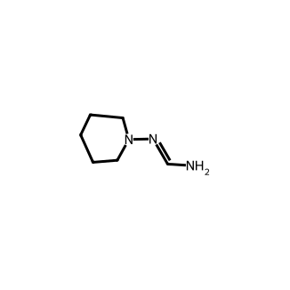 NC=NN1CCCCC1